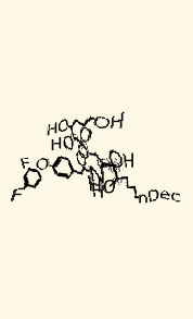 CCCCCCCCCCCCCC[C@@H](O)[C@@H](O)[C@H](CO[C@H]1OC(CO)CC(O)[C@@H]1O)NC(=O)Cc1ccc(Oc2ccc(F)cc2F)cc1